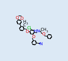 Cc1c(COc2cc(OCc3cccc(C#N)c3)c(CN[C@H](C)COCc3ccccc3)cc2Cl)cccc1-c1ccc2c(c1)OCCO2